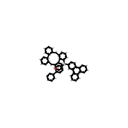 c1ccc(-c2ccc(N(c3ccc4c5ccccc5c5ccccc5c4c3)c3cccc4c3-c3ccccc3Cc3ccccc3-c3ccccc3C4)cc2)cc1